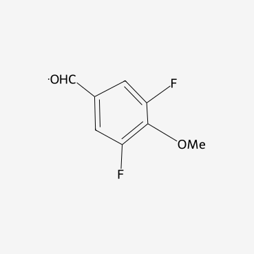 COc1c(F)cc([C]=O)cc1F